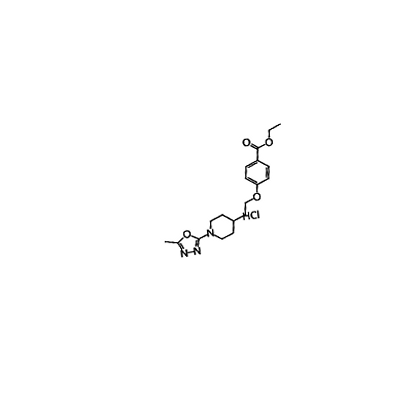 CCOC(=O)c1ccc(OCCC2CCN(c3nnc(C)o3)CC2)cc1.Cl